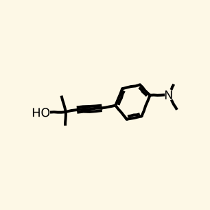 CN(C)c1ccc(C#CC(C)(C)O)cc1